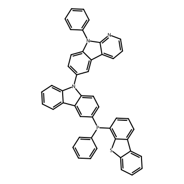 c1ccc(-n2c3ccc(-n4c5ccccc5c5cc(P(c6ccccc6)c6cccc7c6sc6ccccc67)ccc54)cc3c3cccnc32)cc1